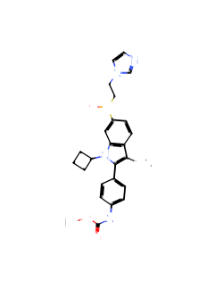 CC(C)OC(=O)Nc1ccc(-c2c(C#N)c3ccc([S+]([O-])CCn4ccnc4)cc3n2C2CCC2)cc1